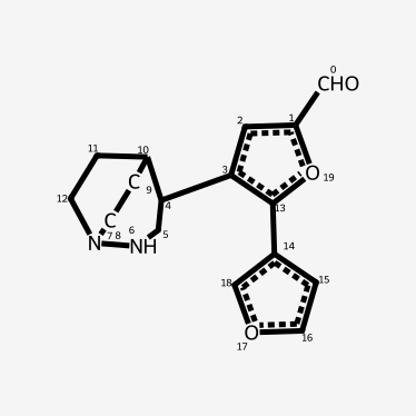 O=Cc1cc(C2CNN3CCC2CC3)c(-c2ccoc2)o1